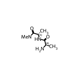 CNC(=O)[C@H](C)NC(=O)[C@@H](C)N